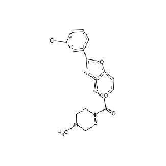 CN1CCN(C(=O)c2ccc3oc(-c4cccc(Cl)c4)nc3c2)CC1